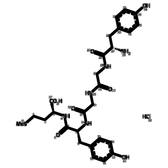 CSCC[C@H](NC(=O)[C@H](Cc1ccc(O)cc1)NC(=O)CNC(=O)CNC(=O)[C@@H](N)Cc1ccc(O)cc1)C(=O)O.Cl